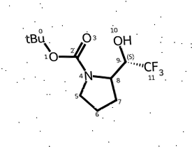 CC(C)(C)OC(=O)N1CCCC1[C@H](O)C(F)(F)F